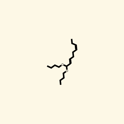 CC/C=C\CC/C=C/C(OCCCC)OCCCC